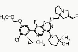 COCOc1cc(Cl)c([C@H]2C[C@H]2C)c(-c2ncc3c(N4CCC[C@@](C)(O)C4)nc(OC[C@@]45CCCN4C/C(=C\F)C5)nc3c2F)c1